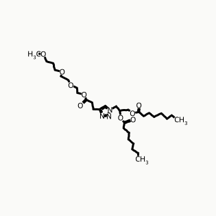 CCCCCCCC(=O)OCC(Cn1cc(CCC(=O)OCCOCCOCCCOC)nn1)OC(=O)CCCCCCC